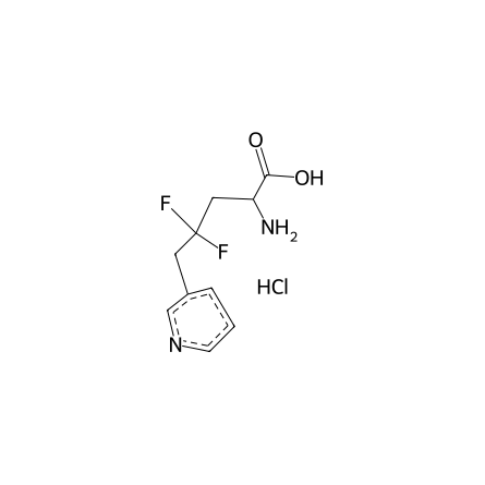 Cl.NC(CC(F)(F)Cc1cccnc1)C(=O)O